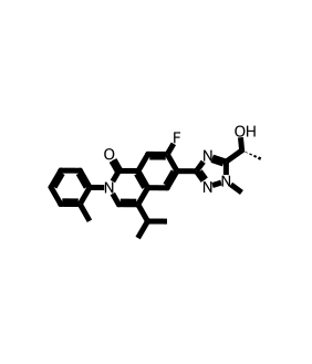 Cc1ccccc1-n1cc(C(C)C)c2cc(-c3nc([C@@H](C)O)n(C)n3)c(F)cc2c1=O